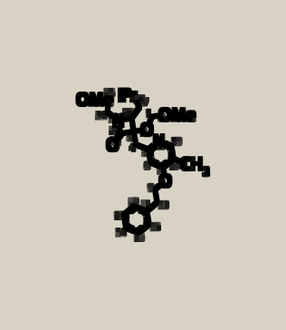 COCOC1(Cc2cc(OCCc3ccccc3)c(C)cn2)C(=O)N(COC)C1CC(C)C